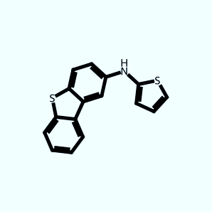 c1csc(Nc2ccc3sc4ccccc4c3c2)c1